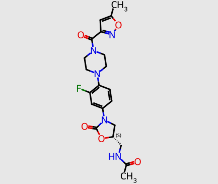 CC(=O)NC[C@H]1CN(c2ccc(N3CCN(C(=O)c4cc(C)on4)CC3)c(F)c2)C(=O)O1